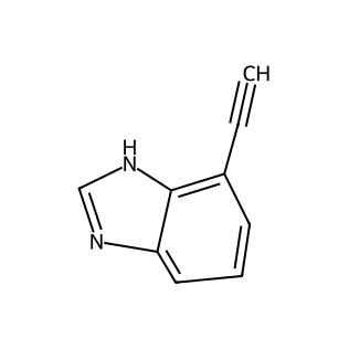 C#Cc1cccc2nc[nH]c12